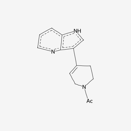 CC(=O)N1CC=C(c2c[nH]c3cccnc23)CC1